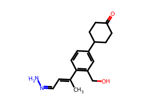 C/C(=C\C=N/N)c1ccc(C2CCC(=O)CC2)cc1CO